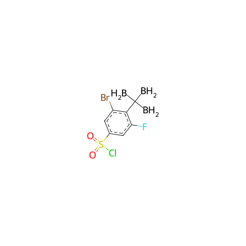 BC(B)(B)c1c(F)cc(S(=O)(=O)Cl)cc1Br